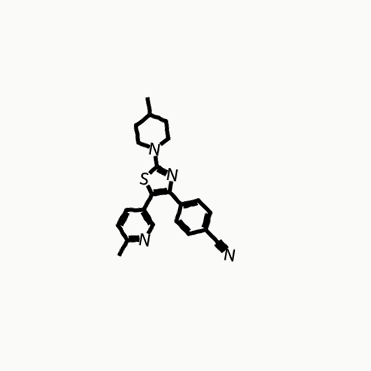 Cc1ccc(-c2sc(N3CCC(C)CC3)nc2-c2ccc(C#N)cc2)cn1